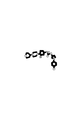 O=C(Nc1ccc(N2CCN(C3CCOCC3)CC2)c(Br)c1)Oc1ccn(-c2ccc(Cl)cc2)c1